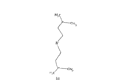 CP(C)CC[N-]CCP(C)C.[Li+]